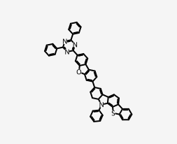 C1=C(c2ccc3c(c2)oc2cc(-c4nc(-c5ccccc5)nc(-c5ccccc5)n4)ccc23)C=C2c3ccc4c(sc5ccccc54)c3N(c3ccccc3)C2C1